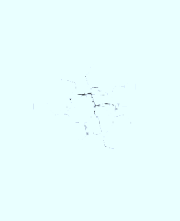 CC[Si]12O[Si]3(CC)O[Si]4(CC)O[Si](CC)(O1)O[Si]1(CC)O[Si](CC)(O2)O[Si](CC)(O3)O[Si](CC)(O4)O1